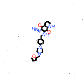 N=NC1=C(NCc2ccc(N3CCN(Cc4ccco4)CC3)cc2)C(=O)C2NC=CC=C2C1=O